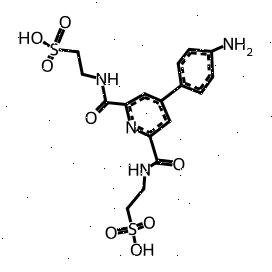 Nc1ccc(-c2cc(C(=O)NCCS(=O)(=O)O)nc(C(=O)NCCS(=O)(=O)O)c2)cc1